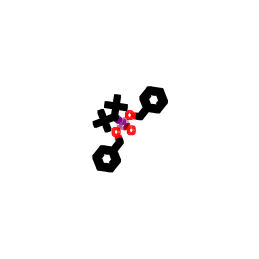 CC(C)(C)[C](C(C)(C)C)P(=O)(OCc1ccccc1)OCc1ccccc1